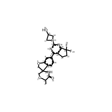 CC1OCC2(COc3cc(-c4nc(N5CC(O)C5)nc5c4CCC5(F)F)ccc32)NC1=O